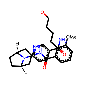 COc1cccc(C(=O)N[C@H]2C[C@H]3CC[C@@H](C2)N3c2ccc(C(N)=O)cn2)c1CCCCO